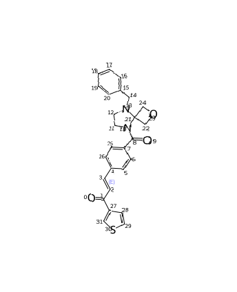 O=C(/C=C/c1ccc(C(=O)N2CCN(Cc3ccccc3)C23COC3)cc1)c1ccsc1